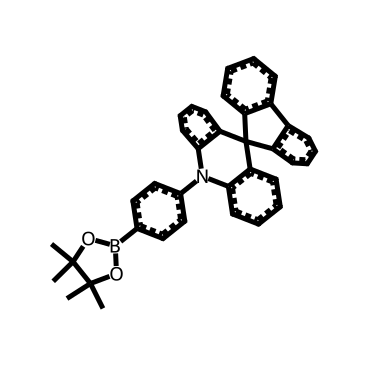 CC1(C)OB(c2ccc(N3c4ccccc4C4(c5ccccc5-c5ccccc54)c4ccccc43)cc2)OC1(C)C